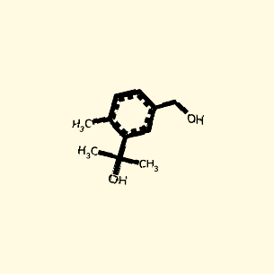 Cc1ccc(CO)cc1C(C)(C)O